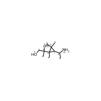 CCCC(C)(CO)C1(C)C(C(C)N)C1(C)C